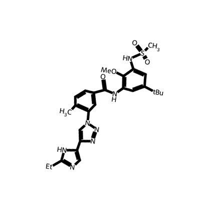 CCc1ncc(-c2cn(-c3cc(C(=O)Nc4cc(C(C)(C)C)cc(NS(C)(=O)=O)c4OC)ccc3C)nn2)[nH]1